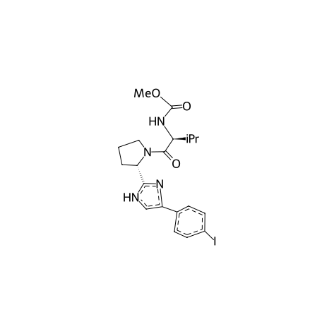 COC(=O)N[C@H](C(=O)N1CCC[C@H]1c1nc(-c2ccc(I)cc2)c[nH]1)C(C)C